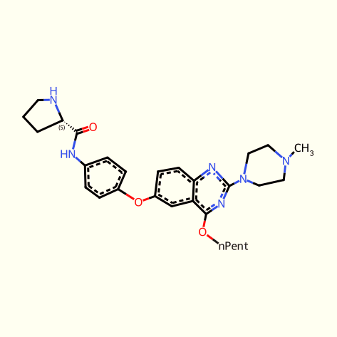 CCCCCOc1nc(N2CCN(C)CC2)nc2ccc(Oc3ccc(NC(=O)[C@@H]4CCCN4)cc3)cc12